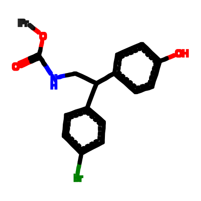 CC(C)OC(=O)NCC(c1ccc(O)cc1)c1ccc(Br)cc1